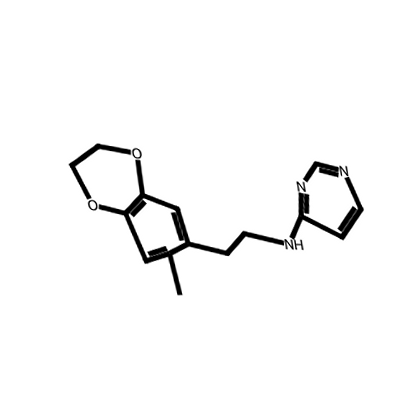 Cc1cc2c(cc1CCNc1ccncn1)OCCO2